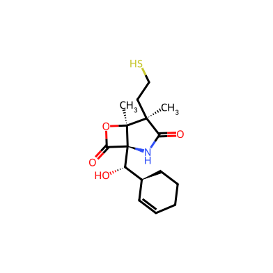 C[C@@]12OC(=O)[C@]1([C@@H](O)[C@@H]1C=CCCC1)NC(=O)[C@]2(C)CCS